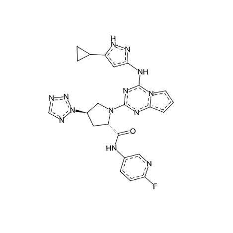 O=C(Nc1ccc(F)nc1)[C@@H]1C[C@@H](n2ncnn2)CN1c1nc(Nc2cc(C3CC3)[nH]n2)n2cccc2n1